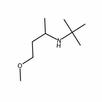 COCCC(C)NC(C)(C)C